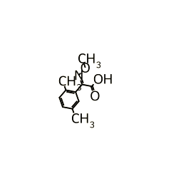 CON=C(C(=O)O)c1cc(C)ccc1C